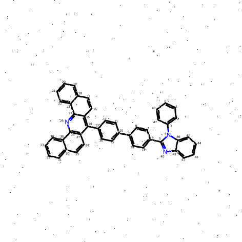 c1ccc(-n2c(-c3ccc(-c4ccc(-c5c6ccc7ccccc7c6nc6c5ccc5ccccc56)cc4)cc3)nc3ccccc32)cc1